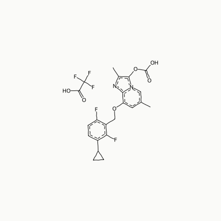 Cc1cc(OCc2c(F)ccc(C3CC3)c2F)c2nc(C)c(OC(=O)O)n2c1.O=C(O)C(F)(F)F